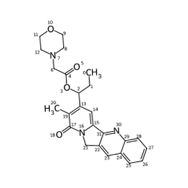 CCC(OC(=O)CN1CCOCC1)c1cc2n(c(=O)c1C)Cc1cc3ccccc3nc1-2